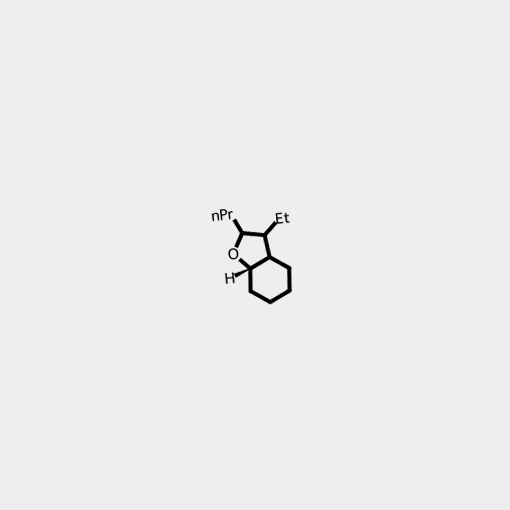 CCCC1O[C@H]2CCCCC2C1CC